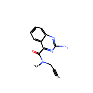 C#CCN(C)C(=O)c1nc(N)nc2ccccc12